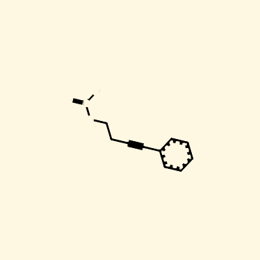 O=[PH](O)OCCC#Cc1ccccc1